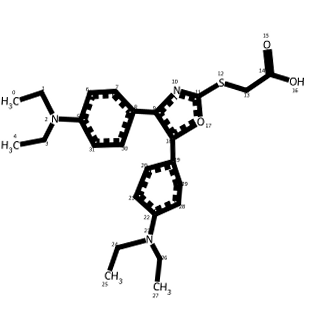 CCN(CC)c1ccc(-c2nc(SCC(=O)O)oc2-c2ccc(N(CC)CC)cc2)cc1